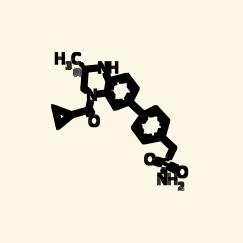 C[C@H]1CN(C(=O)C2CC2)c2cc(-c3ccc(CS(N)(=O)=O)cc3)ccc2N1